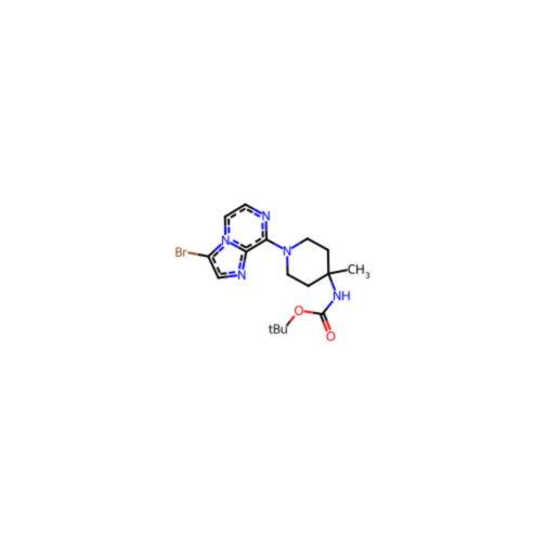 CC1(NC(=O)OC(C)(C)C)CCN(c2nccn3c(Br)cnc23)CC1